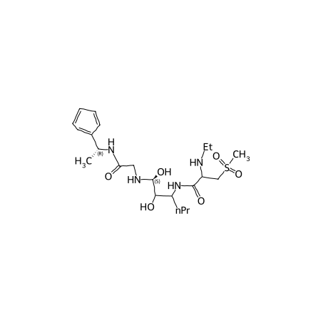 CCCC(NC(=O)C(CS(C)(=O)=O)NCC)C(O)[C@H](O)NCC(=O)N[C@H](C)c1ccccc1